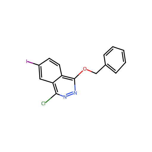 Clc1nnc(OCc2ccccc2)c2ccc(I)cc12